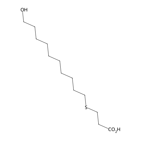 O=C(O)CCSCCCCCCCCCCO